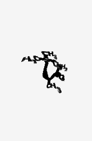 CC(C[Si](C)(C)C)C(N)=O